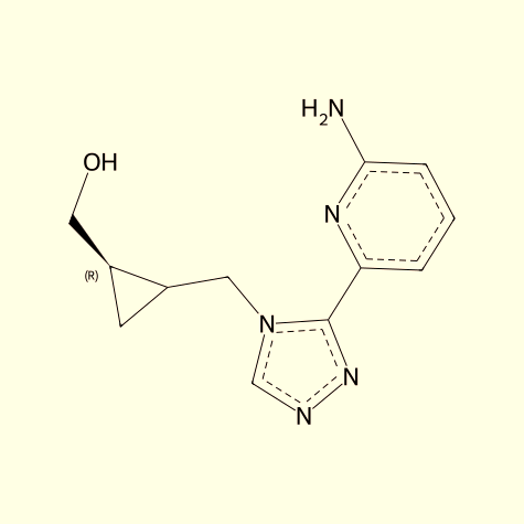 Nc1cccc(-c2nncn2CC2C[C@H]2CO)n1